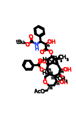 CC(=O)OC[C@H]1C[C@H](O)[C@@]2(C)C(=O)[C@H](O)C3=C(C)[C@@H](OC(=O)[C@H](O)C(NC(=O)OC(C)(C)C)c4ccccc4)C[C@@](O)([C@@H](OC(=O)c4ccccc4)[C@@H]2CO1)C3(C)C